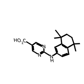 CC1(C)CCC(C)(C)c2cc(Nc3ncc(C(=O)O)cn3)ccc21